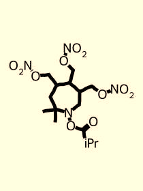 CC(C)C(=O)ON1CC(CO[N+](=O)[O-])C(CO[N+](=O)[O-])C(CO[N+](=O)[O-])CC1(C)C